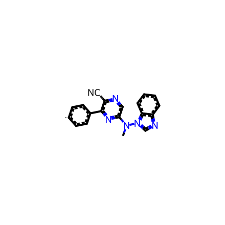 CN(c1cnc(C#N)c(-c2cc[c]cc2)n1)n1cnc2ccccc21